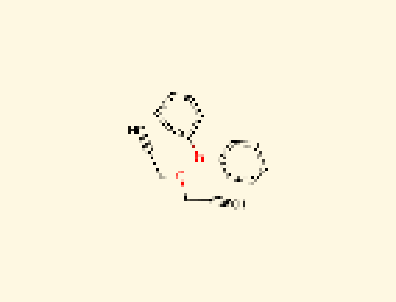 C#CCOCC#C.c1ccc(Oc2ccccc2)cc1